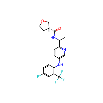 CC(NC(=O)[C@@H]1CCOC1)c1ccc(Nc2ccc(F)cc2C(F)(F)F)cn1